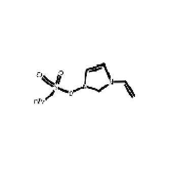 C=CN1C=CN(OS(=O)(=O)CCC)C1